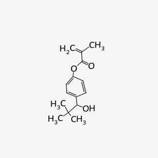 C=C(C)C(=O)Oc1ccc(C(O)C(C)(C)C)cc1